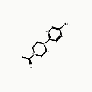 CC(=O)N1CCN(c2ccc(N)cn2)CC1